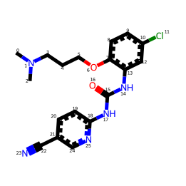 CN(C)CCCOc1ccc(Cl)cc1NC(=O)Nc1ccc(C#N)cn1